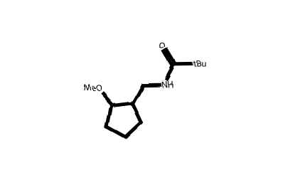 COC1CCCC1CNC(=O)C(C)(C)C